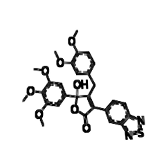 COc1ccc(CC2=C(c3ccc4nsnc4c3)C(=O)OC2(O)c2cc(OC)c(OC)c(OC)c2)cc1OC